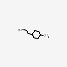 BC1CCC(CCN)CC1